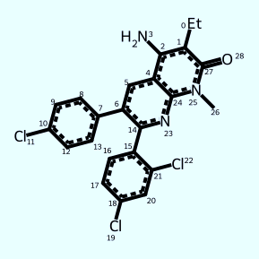 CCc1c(N)c2cc(-c3ccc(Cl)cc3)c(-c3ccc(Cl)cc3Cl)nc2n(C)c1=O